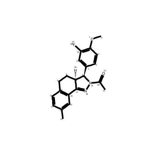 COc1ccc([C@@H]2[C@@H]3CCc4ccc(C)cc4C3=NN2C(C)=O)cc1[18F]